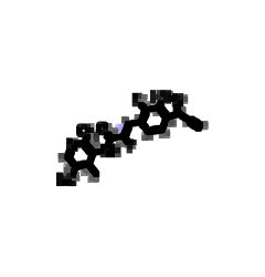 C#Cc1n[nH]c2c(F)c(/C=C(\F)C(=O)Nc3c(C(F)(F)F)ncc(C#N)c3C)ccc12